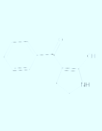 CC1=C(C(=O)c2ccccc2)CCN1